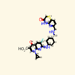 O=C1CSc2ccc(CNC[C@H]3CC[C@H](Nc4nc5c(cc4F)c(=O)c(C(=O)O)cn5C4CC4)CC3)nc2N1